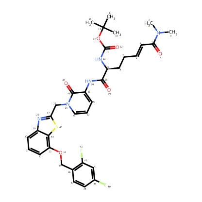 CN(C)C(=O)/C=C/CC[C@H](NC(=O)OC(C)(C)C)C(=O)Nc1cccn(Cc2nc3cccc(OCc4ccc(F)cc4F)c3s2)c1=O